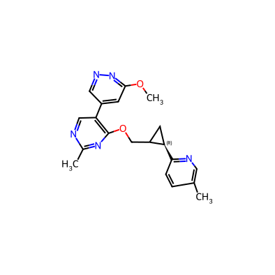 COc1cc(-c2cnc(C)nc2OCC2C[C@H]2c2ccc(C)cn2)cnn1